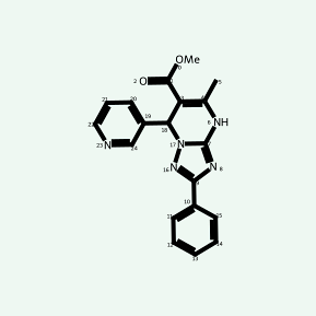 COC(=O)C1=C(C)Nc2nc(-c3ccccc3)nn2C1c1cccnc1